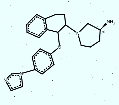 N[C@H]1CCCN(C2CCc3ccccc3C2Oc2ccc(-n3ccnc3)cc2)C1